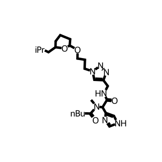 CCCCC(=O)N(C)C(C(=O)NCc1cn(CCCOC2CCCC(CC(C)C)O2)nn1)c1c[nH]cn1